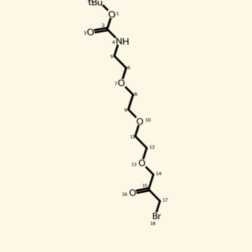 CC(C)(C)OC(=O)NCCOCCOCCOCC(=O)CBr